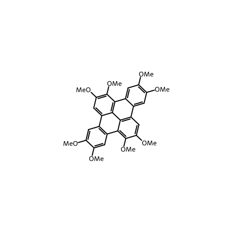 COc1cc2c(cc1OC)c1c(OC)c(OC)cc3c4cc(OC)c(OC)cc4c4c(OC)c(OC)cc2c4c31